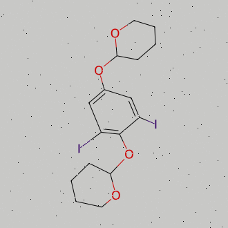 Ic1cc(OC2CCCCO2)cc(I)c1OC1CCCCO1